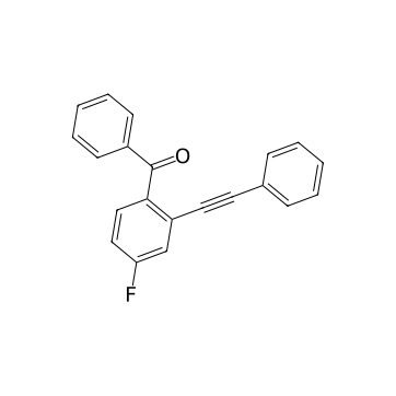 O=C(c1ccccc1)c1ccc(F)cc1C#Cc1ccccc1